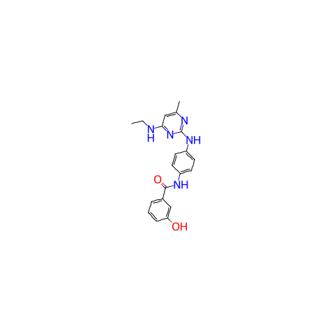 CCNc1cc(C)nc(Nc2ccc(NC(=O)c3cccc(O)c3)cc2)n1